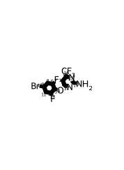 Nc1nc(Oc2c(F)cc(Br)cc2F)cc(C(F)(F)F)n1